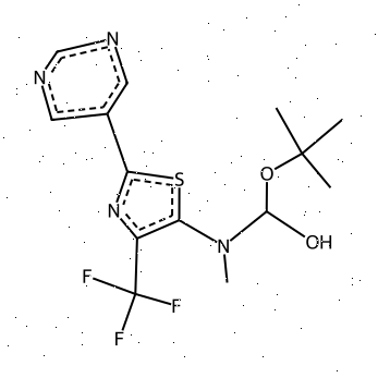 CN(c1sc(-c2cncnc2)nc1C(F)(F)F)C(O)OC(C)(C)C